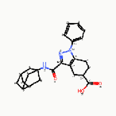 O=C(NC12CC3CC(C1)C(C3)C2)c1nn(-c2ccccc2)c2c1CC(C(=O)O)CC2